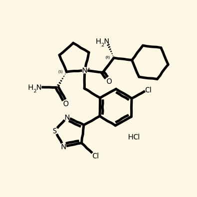 Cl.NC(=O)[C@@H]1CCC[N+]1(Cc1cc(Cl)ccc1-c1nsnc1Cl)C(=O)[C@H](N)C1CCCCC1